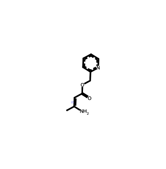 C/C(N)=C/C(=O)OCc1ccccn1